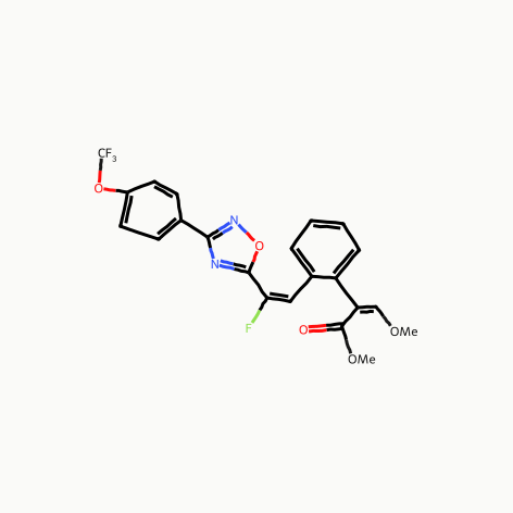 CO/C=C(\C(=O)OC)c1ccccc1/C=C(/F)c1nc(-c2ccc(OC(F)(F)F)cc2)no1